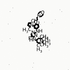 Cc1ccc(C)n1-c1cc(Nc2ncc(F)c(NC3CC(C)(C)N(C)C(C)(C)C3)n2)ccc1OCCN1CCOCC1